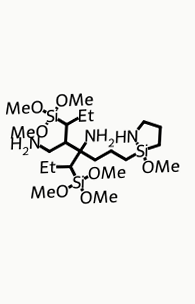 CCC(C(CN)C(N)(CCC[Si]1(OC)CCCN1)C(CC)[Si](OC)(OC)OC)[Si](OC)(OC)OC